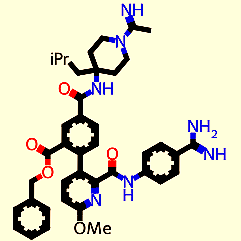 COc1ccc(-c2ccc(C(=O)NC3(CC(C)C)CCN(C(C)=N)CC3)cc2C(=O)OCc2ccccc2)c(C(=O)Nc2ccc(C(=N)N)cc2)n1